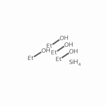 CCO.CCO.CCO.CCO.[SiH4]